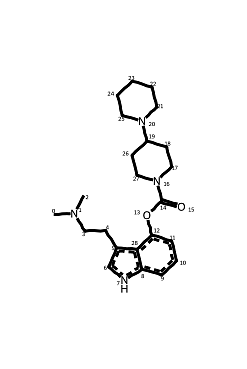 CN(C)CCc1c[nH]c2cccc(OC(=O)N3CCC(N4CCCCC4)CC3)c12